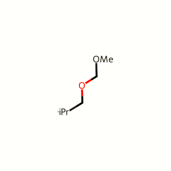 COCOC[C](C)C